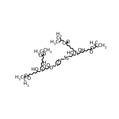 CCC(CC)COC(=O)CCCCC(O)CN(CCCCSSCCN1CCN(CCOC(=O)CCCN(CC(O)CCCCC(=O)OC(C)C)CC(O)CCCCC(=O)OC(C)C)CC1)CC(O)CCCCC(=O)OCC(CC)CC